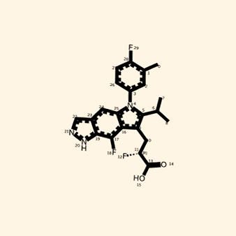 Cc1cc(-n2c(C(C)C)c(C[C@@H](F)C(=O)O)c3c(F)c4[nH]ncc4cc32)ccc1F